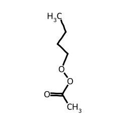 CCCCOOC(C)=O